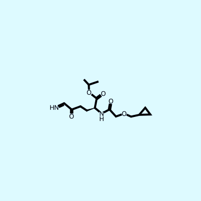 CC(C)OC(=O)[C@H](CCC(=O)C=N)NC(=O)COCC1CC1